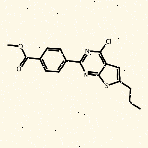 CCCc1cc2c(Cl)nc(-c3ccc(C(=O)OC)cc3)nc2s1